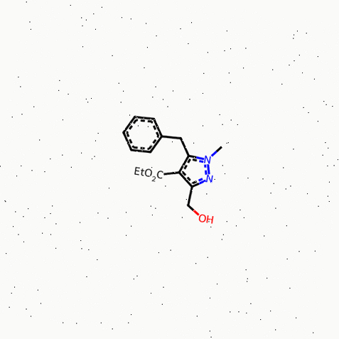 CCOC(=O)c1c(CO)nn(C)c1Cc1ccccc1